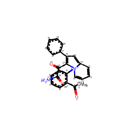 COC(=O)c1ccccc1[N+]12C=CC=CC1=CC(c1ccccc1)=C2C(=O)C(N)=O